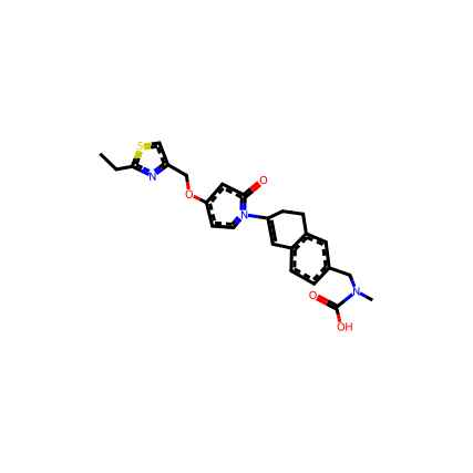 CCc1nc(COc2ccn(C3=Cc4ccc(CN(C)C(=O)O)cc4CC3)c(=O)c2)cs1